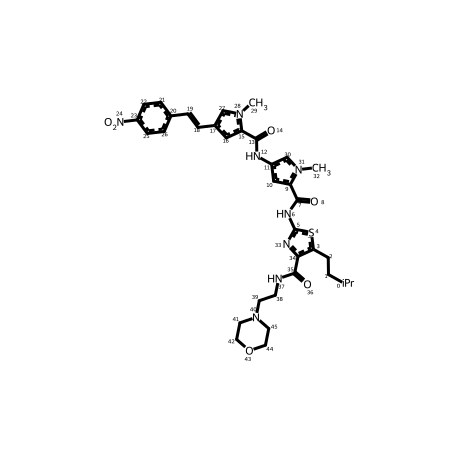 CC(C)CCc1sc(NC(=O)c2cc(NC(=O)c3cc(C=Cc4ccc([N+](=O)[O-])cc4)cn3C)cn2C)nc1C(=O)NCCN1CCOCC1